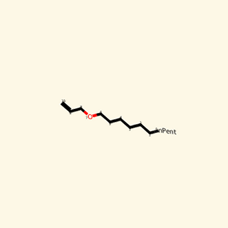 [CH2]CCCCCCCCCCOCC=C